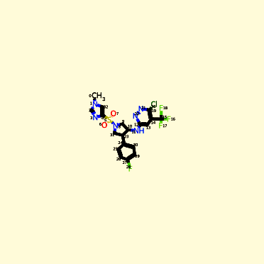 Cn1cnc(S(=O)(=O)N2CC(Nc3cc(C(F)(F)F)c(Cl)nn3)C(c3ccc(F)cc3)C2)c1